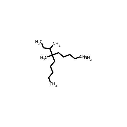 CCCCCC(C)(CCCCC)C(N)CC.O